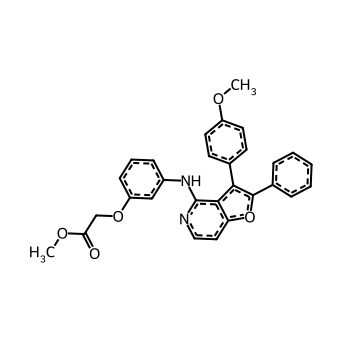 COC(=O)COc1cccc(Nc2nccc3oc(-c4ccccc4)c(-c4ccc(OC)cc4)c23)c1